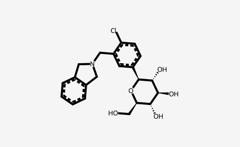 OC[C@H]1O[C@@H](c2ccc(Cl)c(CN3Cc4ccccc4C3)c2)[C@H](O)[C@@H](O)[C@@H]1O